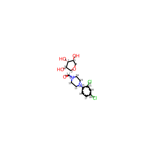 O=C([C@H]1OC[C@H](O)[C@@H](O)[C@H]1O)N1CCN(c2ccc(Cl)cc2Cl)CC1